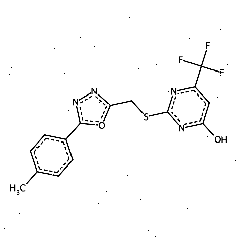 Cc1ccc(-c2nnc(CSc3nc(O)cc(C(F)(F)F)n3)o2)cc1